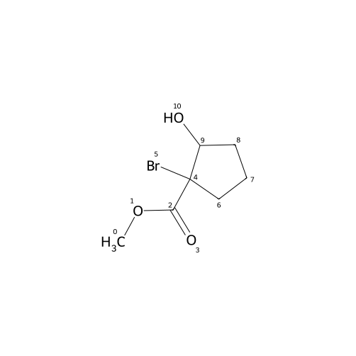 COC(=O)C1(Br)CCCC1O